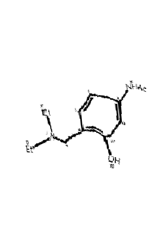 CCN(CC)Cc1ccc(NC(C)=O)cc1O